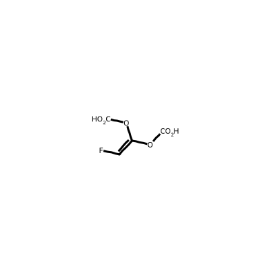 O=C(O)OC(=CF)OC(=O)O